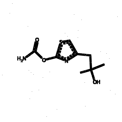 CC(C)(O)Cc1csc(OC(N)=O)n1